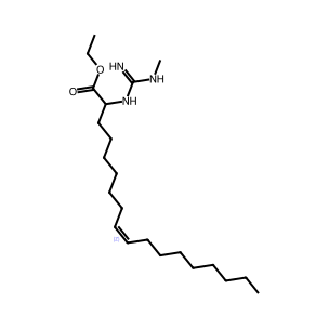 CCCCCCCC/C=C\CCCCCCC(NC(=N)NC)C(=O)OCC